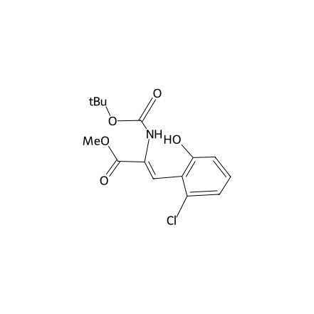 COC(=O)C(=Cc1c(O)cccc1Cl)NC(=O)OC(C)(C)C